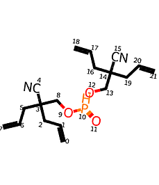 C=CCC(C#N)(CC=C)CO[PH](=O)OCC(C#N)(CC=C)CC=C